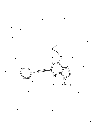 Cn1cnc2c(OC3CC3)nc(C#Cc3ccccc3)nc21